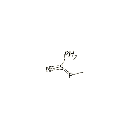 CP=S(#N)P